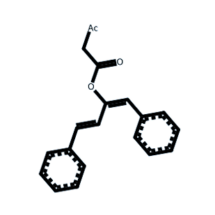 CC(=O)CC(=O)OC(C=Cc1ccccc1)=Cc1ccccc1